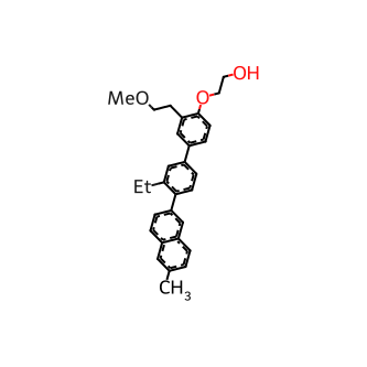 CCc1cc(-c2ccc(OCCO)c(CCOC)c2)ccc1-c1ccc2cc(C)ccc2c1